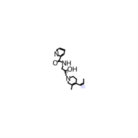 C/C=C\C1=C(C)CN(C[C@H](O)CNC(=O)c2ccccn2)CC1